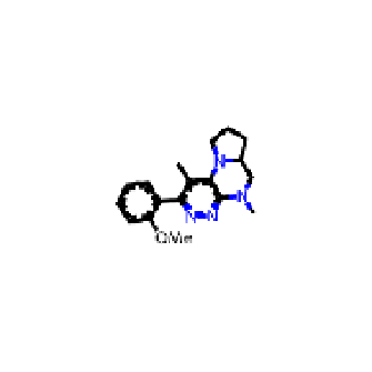 COc1ccccc1-c1nnc2c(c1C)N1CCCC1CN2C